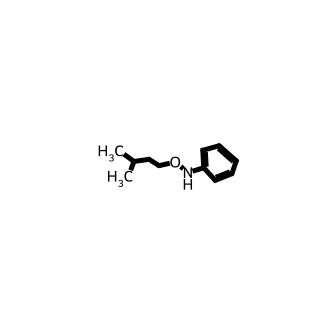 CC(C)CCONc1ccccc1